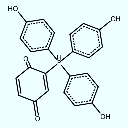 O=C1C=CC(=O)C([PH](c2ccc(O)cc2)(c2ccc(O)cc2)c2ccc(O)cc2)=C1